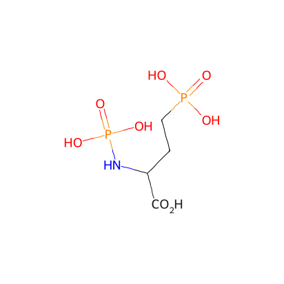 O=C(O)C(CCP(=O)(O)O)NP(=O)(O)O